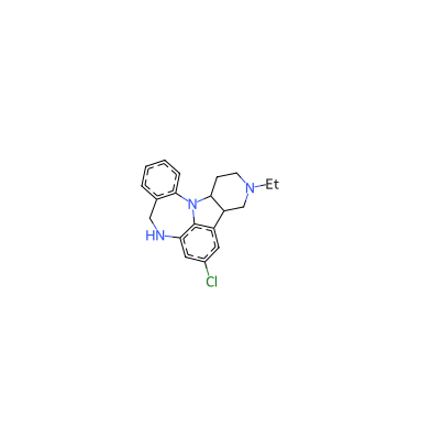 CCN1CCC2C(C1)c1cc(Cl)cc3c1N2c1ccccc1CN3